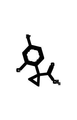 CC(=O)C1(c2ccc(Br)cc2Cl)CC1